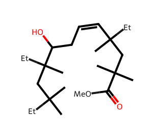 CCC(C)(C)CC(C)(CC)C(O)C/C=C\C(C)(CC)CC(C)(C)C(=O)OC